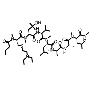 CCCC(=O)N(C)[C@@H](CSCCN(CC)CC)C(=O)N(C)[C@@H](CC(C)(C)O)C(=O)N[C@H](C(=O)N(C)[C@@H](CC(C)C)C(=O)N[C@H](C)C(=O)N[C@@H](C)C(=O)N(C)[C@@H](CC(C)C)C(=O)NC)C(C)C